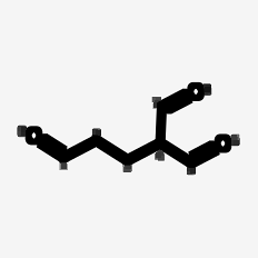 O=CCCC(C=O)C=O